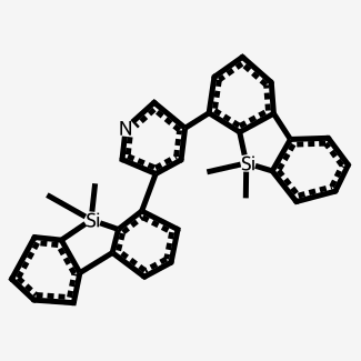 C[Si]1(C)c2ccccc2-c2cccc(-c3cncc(-c4cccc5c4[Si](C)(C)c4ccccc4-5)c3)c21